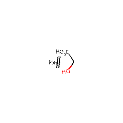 C=C.O=C(O)CO.[PbH2]